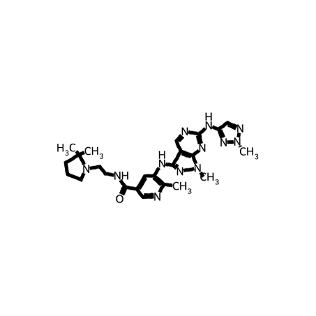 Cc1ncc(C(=O)NCCN2CCCC2(C)C)cc1Nc1nn(C)c2nc(Nc3cnn(C)n3)ncc12